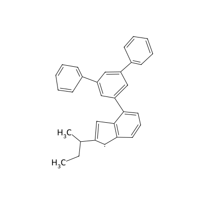 CCC(C)C1=Cc2c(cccc2-c2cc(-c3ccccc3)cc(-c3ccccc3)c2)[CH]1